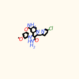 COc1cccc(Nc2c(C(N)=O)c(Cc3ccc(Cl)cn3)nc3ccc(C(N)=O)cc23)c1